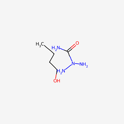 CCCCO.NC(=O)N(N)N